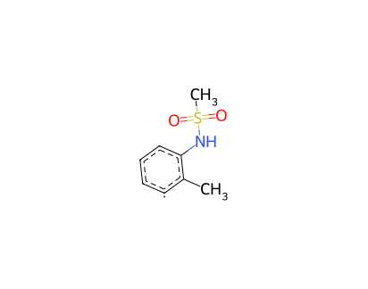 Cc1[c]cccc1NS(C)(=O)=O